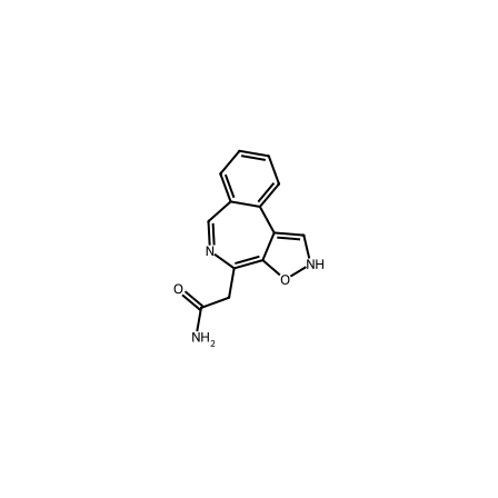 NC(=O)CC1=C2ONC=C2c2ccccc2C=N1